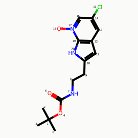 CC(C)(C)OC(=O)NCCc1cc2cc(Cl)c[n+]([O-])c2[nH]1